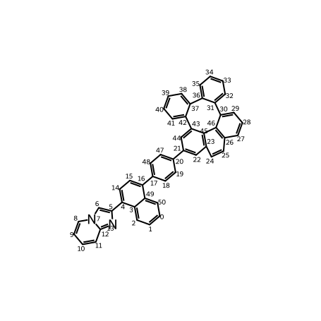 c1ccc2c(-c3cn4ccccc4n3)ccc(-c3ccc(-c4cc5ccc6cccc7c8ccccc8c8ccccc8c(c4)c5c67)cc3)c2c1